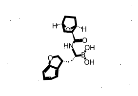 O=C(N[C@@H](C[C@H]1COc2ccccc21)B(O)O)[C@H]1C[C@H]2CC[C@@H]1O2